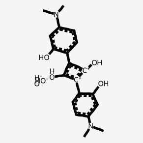 CN(C)c1ccc(-c2c(O)[c+](-c3ccc(N(C)C)cc3O)[c+]2O)c(O)c1.[OH-].[OH-]